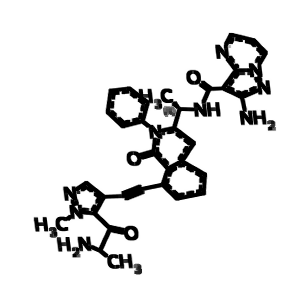 CC(N)C(=O)c1c(C#Cc2cccc3cc([C@@H](C)NC(=O)c4c(N)nn5cccnc45)n(-c4ccccc4)c(=O)c23)cnn1C